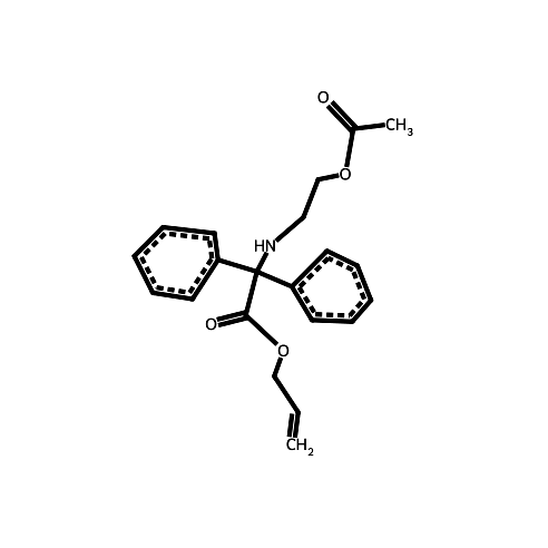 C=CCOC(=O)C(NCCOC(C)=O)(c1ccccc1)c1ccccc1